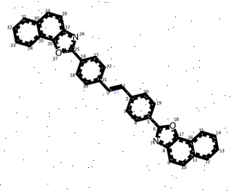 C(=C\c1ccc(-c2nc3ccc4ccccc4c3o2)cc1)/c1ccc(-c2nc3ccc4ccccc4c3o2)cc1